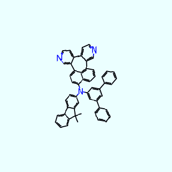 CC1(C)c2ccccc2-c2ccc(N(c3cc(-c4ccccc4)cc(-c4ccccc4)c3)c3ccc4c5c(cccc35)-c3cnccc3-c3ccncc3-4)cc21